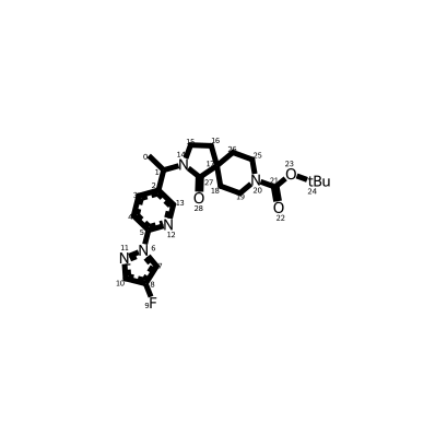 CC(c1ccc(-n2cc(F)cn2)nc1)N1CCC2(CCN(C(=O)OC(C)(C)C)CC2)C1=O